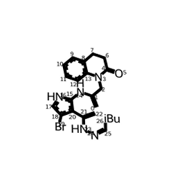 C=C(CN1C(=O)CCc2ccccc21)Nc1[nH]cc(Br)c1C(=C)N/N=C\C(C)CC